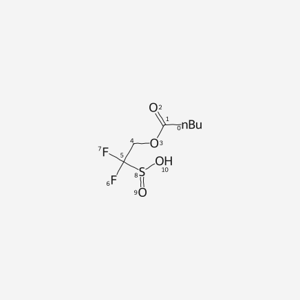 CCCCC(=O)OCC(F)(F)S(=O)O